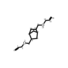 C=CCOCC1CC2CC1CC2COCC=C